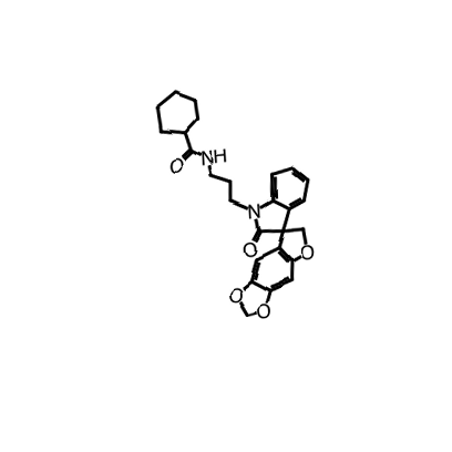 O=C(NCCCN1C(=O)C2(COc3cc4c(cc32)OCO4)c2ccccc21)C1CCCCC1